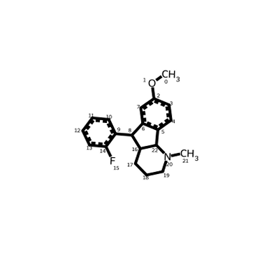 COc1ccc2c(c1)C(c1ccccc1F)C1CCCN(C)C21